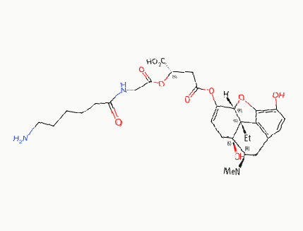 CC[C@]12c3c4ccc(O)c3O[C@H]1C(OC(=O)C[C@H](OC(=O)CNC(=O)CCCCCN)C(=O)O)=CC[C@@]2(O)[C@H](NC)C4